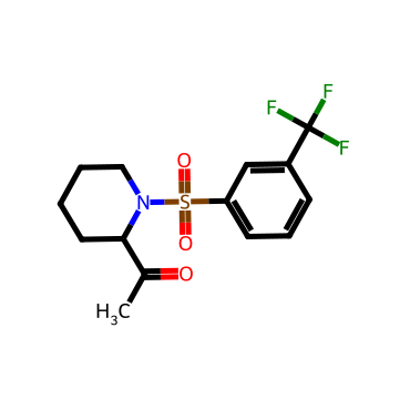 CC(=O)C1CCCCN1S(=O)(=O)c1cccc(C(F)(F)F)c1